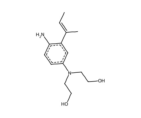 CC=C(C)c1cc(N(CCO)CCO)ccc1N